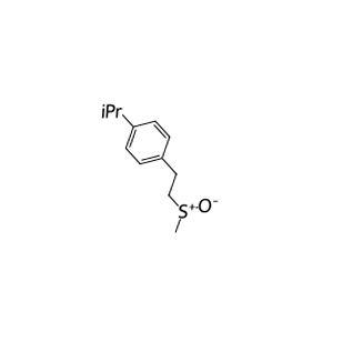 CC(C)c1ccc(CC[S+](C)[O-])cc1